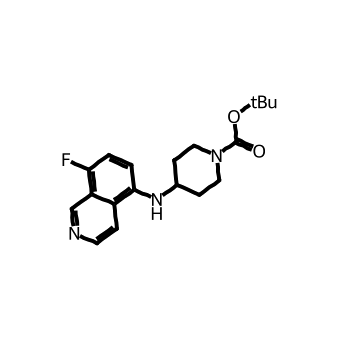 CC(C)(C)OC(=O)N1CCC(Nc2ccc(F)c3cnccc23)CC1